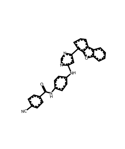 N#Cc1ccc(C(=O)Nc2ccc(Nc3cc(-c4cccc5c4oc4ccccc45)ncn3)cc2)cc1